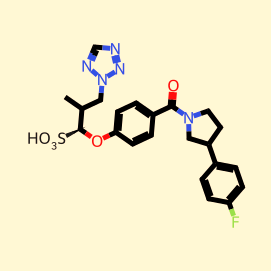 CC(Cn1ncnn1)[C@@H](Oc1ccc(C(=O)N2CCC(c3ccc(F)cc3)C2)cc1)S(=O)(=O)O